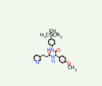 COc1ccc(C(NC(=O)CCc2cccnc2)C(=O)Nc2ccc([Si](C)(C)C)cc2)cc1